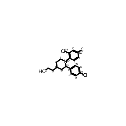 OCCC1CCN(c2ccc(Cl)cc2Cl)C(c2ccc(Cl)cc2)C1